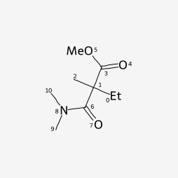 CCC(C)(C(=O)OC)C(=O)N(C)C